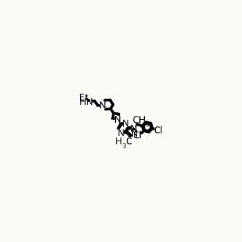 CCNCCN1CCCC(C2CN(c3cnc4c(C)nn(C(C)c5ccc(Cl)cc5Cl)c4n3)C2)C1